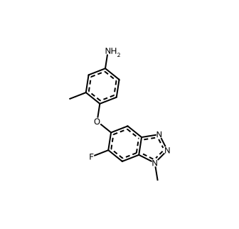 Cc1cc(N)ccc1Oc1cc2nnn(C)c2cc1F